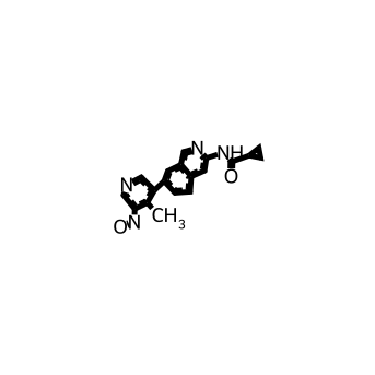 Cc1c(N=O)cncc1-c1ccc2cc(NC(=O)C3CC3)ncc2c1